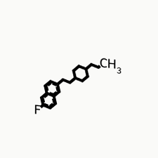 CCCC1CCC(CCc2ccc3cc(F)ccc3c2)CC1